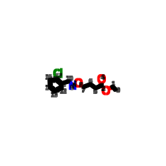 CCOC(=O)CCCON=Cc1c[c]ccc1Cl